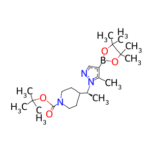 Cc1c(B2OC(C)(C)C(C)(C)O2)cnn1[C@@H](C)C1CCN(C(=O)OC(C)(C)C)CC1